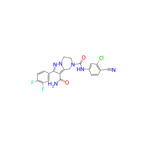 N#Cc1ccc(NC(=O)N2CCn3nc(-c4ccc(F)c(F)c4)c(C(N)=O)c3C2)cc1Cl